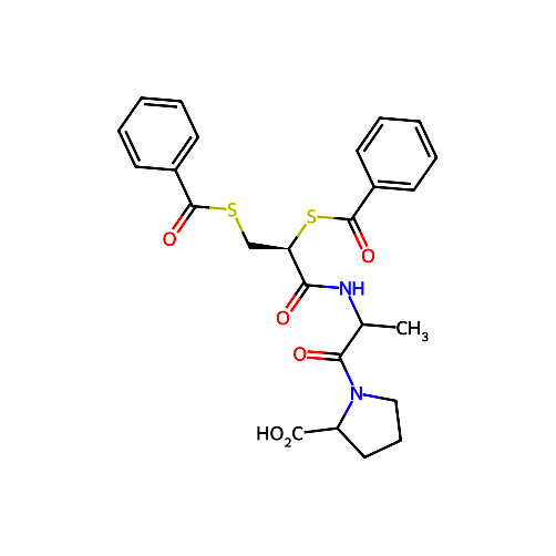 CC(NC(=O)[C@@H](CSC(=O)c1ccccc1)SC(=O)c1ccccc1)C(=O)N1CCCC1C(=O)O